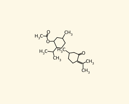 CC(=O)OC1CC(C)CCC1C(C)C.CC(C)=C1CCC(C)CC1=O